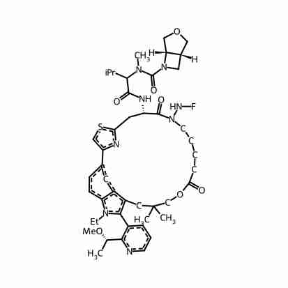 CCn1c(-c2cccnc2[C@H](C)OC)c2c3cc(ccc31)-c1csc(n1)C[C@H](NC(=O)C(C(C)C)N(C)C(=O)N1C[C@H]3COC[C@H]31)C(=O)N(NF)CCCCC(=O)OCC(C)(C)C2